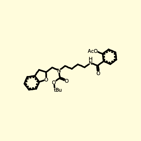 CC(=O)Oc1ccccc1C(=O)NCCCCN(CC1Cc2ccccc2O1)C(=O)OC(C)(C)C